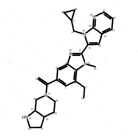 C=C(c1cc(CC)c2c(c1)nc(-c1cc3cccnc3n1CC1CC1)n2C)N1CCC2CCNC2C1